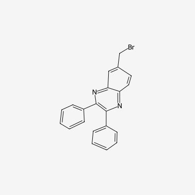 BrCc1ccc2nc(-c3ccccc3)c(-c3ccccc3)nc2c1